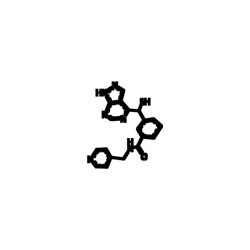 O=C(NCc1ccncc1)c1cccc(C(S)c2ncnc3[nH]ncc23)c1